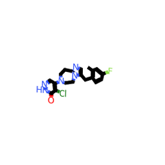 Cc1cc(F)ccc1Cc1cnc2n1CCN(c1cn[nH]c(=O)c1Cl)CC2